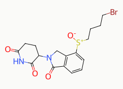 O=C1CCC(N2Cc3c(cccc3[S+]([O-])CCCCBr)C2=O)C(=O)N1